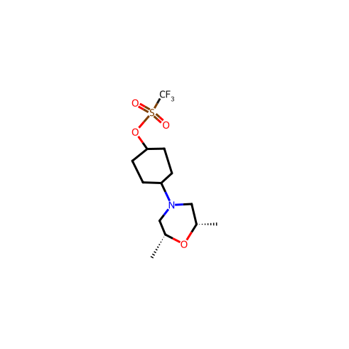 C[C@@H]1CN(C2CCC(OS(=O)(=O)C(F)(F)F)CC2)C[C@H](C)O1